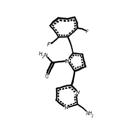 NC(=O)n1c(-c2ccnc(N)n2)ccc1-c1c(F)cccc1F